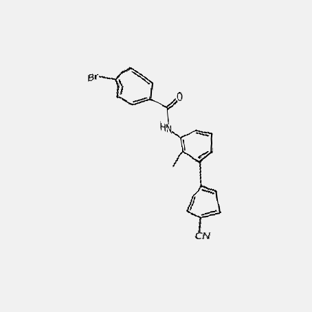 Cc1c(NC(=O)c2ccc(Br)cc2)cccc1-c1ccc(C#N)cc1